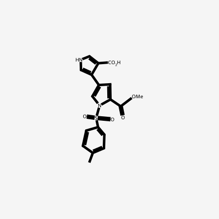 COC(=O)c1cc(-c2c[nH]cc2C(=O)O)cn1S(=O)(=O)c1ccc(C)cc1